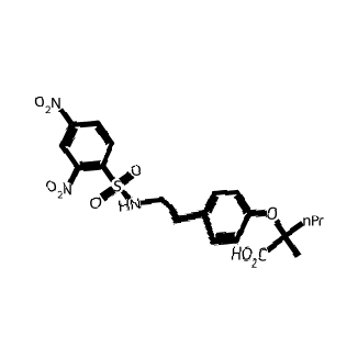 CCCC(C)(Oc1ccc(CCNS(=O)(=O)c2ccc([N+](=O)[O-])cc2[N+](=O)[O-])cc1)C(=O)O